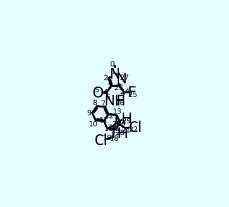 Cn1cc(C(=O)Nc2cccc3c2C2CCC3[C@H](CCl)[C@H]2CCl)c(C(F)F)n1